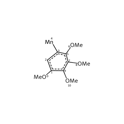 COc1c[c]([Mn])c(OC)c(OC)c1OC